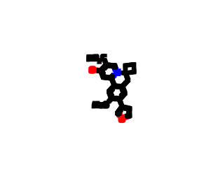 COc1cc2c(cc1-c1ccoc1)CC1(CCC1)n1cc(C(=O)O)c(=O)cc1-2